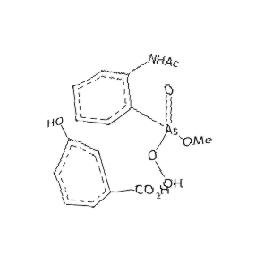 CO[As](=O)(OO)c1ccccc1NC(C)=O.O=C(O)c1cccc(O)c1